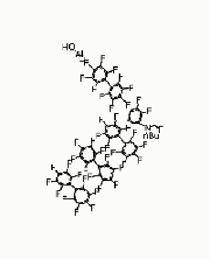 CCCCN(CF)c1cccc(F)c1F.Fc1c(F)c(F)c(-c2c(F)c(F)c(F)c(F)c2F)c(F)c1F.Fc1c(F)c(F)c(-c2c(F)c(F)c(F)c(F)c2F)c(F)c1F.Fc1c(F)c(F)c(-c2c(F)c(F)c(F)c(F)c2F)c(F)c1F.Fc1c(F)c(F)c(-c2c(F)c(F)c(F)c(F)c2F)c(F)c1F.[O]=[Al][OH]